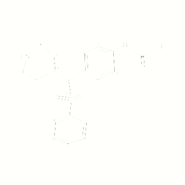 O=C(Nc1ccc(C(C2CCNCC2)S(=O)(=O)c2ccccc2)cc1)C(F)(F)F